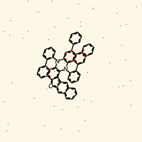 c1ccc(-c2ccc(N(c3ccccc3-c3ccccc3)c3ccc4oc5cc6ccccc6cc5c4c3N(c3ccc(-c4ccccc4)cc3)c3ccccc3-c3ccccc3)cc2)cc1